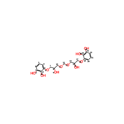 Oc1cccc(OCC(O)COCOCC(O)COc2cccc(O)c2O)c1O